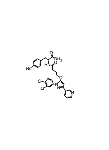 N#Cc1ccc(C[C@H](NC(=O)CCCOc2cc(-c3cccnc3)nn2-c2ccc(Cl)c(Cl)c2)C(N)=O)cc1